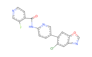 O=C(Nc1ccc(-c2cc3ocnc3cc2Cl)cn1)c1ccncc1F